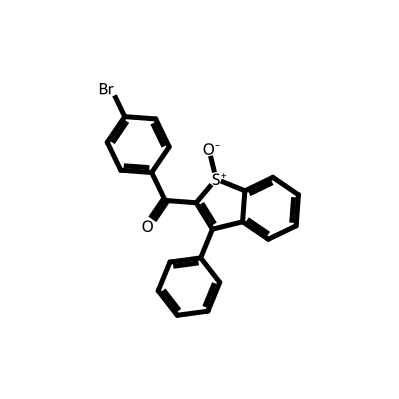 O=C(c1ccc(Br)cc1)c1c(-c2ccccc2)c2ccccc2[s+]1[O-]